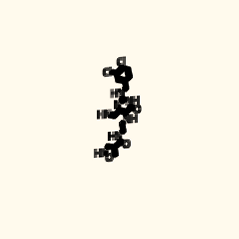 N=Cc1nc(NCc2ccc(Cl)c(Cl)c2)[nH]c(=O)c1NCCNC(=O)C1=CONC1